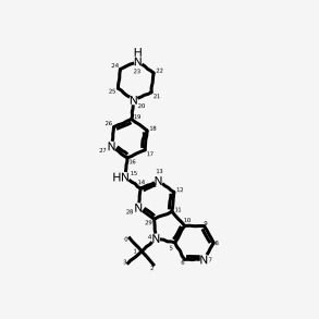 CC(C)(C)n1c2cnccc2c2cnc(Nc3ccc(N4CCNCC4)cn3)nc21